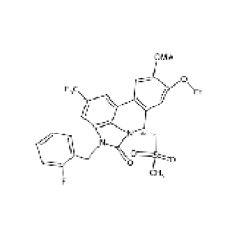 CCOc1cc2c(cc1OC)-c1cc(C(F)(F)F)cc3c1n(c(=O)n3Cc1ccccc1F)[C@H]2CS(C)(=O)=O